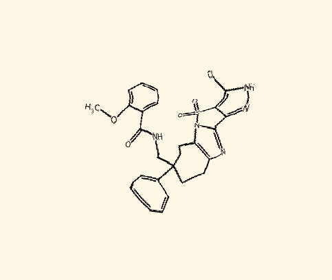 COc1ccccc1C(=O)NCC1(c2ccccc2)CCc2nc3n(c2C1)S(=O)(=O)c1c-3n[nH]c1Cl